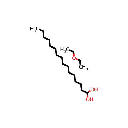 CCCCCCCCCCCCCCCC(O)O.CCOCC